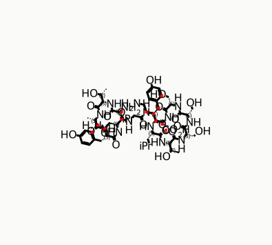 CC(C)C[C@H](NC(=O)[C@H](Cc1ccc(O)cc1)NC(=O)CNC(=O)[C@H](CC(N)=O)NC(=O)[C@H](Cc1ccc(O)cc1)NC(=O)[C@H](C)NC(=O)[C@@H](NC(=O)[C@@H](N)C(C)C)[C@@H](C)O)C(=O)N[C@H](C(=O)N[C@@H](CO)C(=O)N[C@@H](CO)C(=O)N[C@@H](CO)C(=O)N[C@@H](CCCCN)C(=O)O)[C@@H](C)O